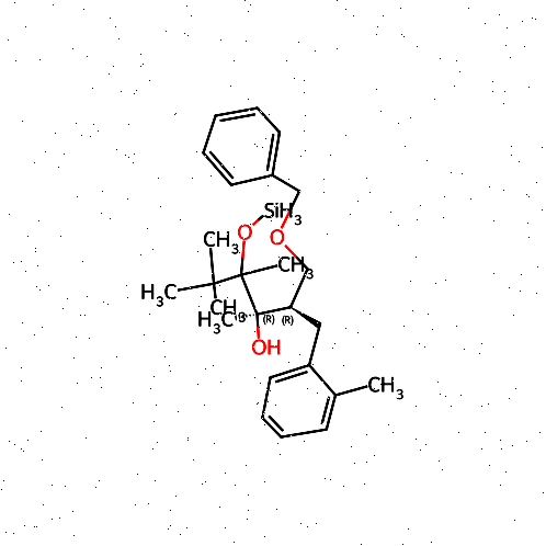 Cc1ccccc1C[C@H](COCc1ccccc1)[C@@](C)(O)C(C)(O[SiH3])C(C)(C)C